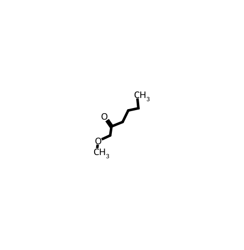 CCCCC(=O)COC